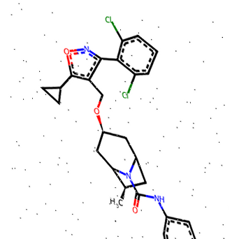 C[C@@H]1CC2C[C@H](OCc3c(-c4c(Cl)cccc4Cl)noc3C3CC3)CC1N2C(=O)Nc1ccncc1